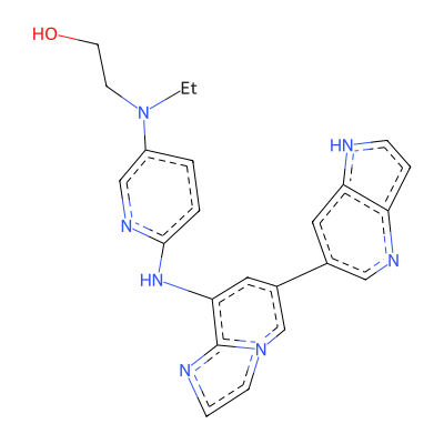 CCN(CCO)c1ccc(Nc2cc(-c3cnc4cc[nH]c4c3)cn3ccnc23)nc1